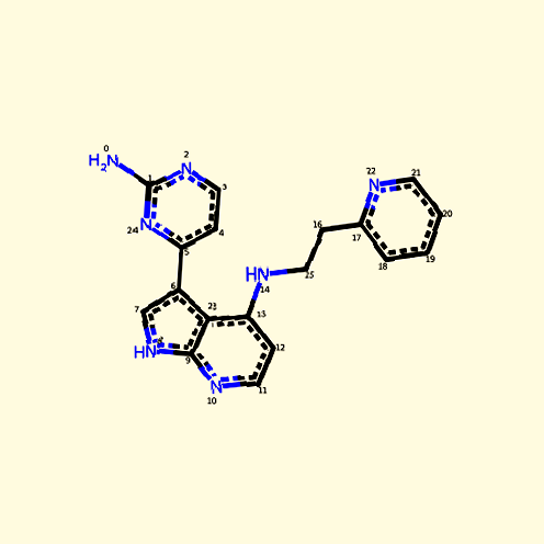 Nc1nccc(-c2c[nH]c3nccc(NCCc4ccccn4)c23)n1